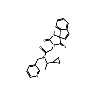 CC(C1CC1)N(Cc1cccnc1)C(=O)CN1C(=O)NC2(C=Cc3ccccc32)C1=O